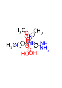 CCOC(=O)[C@H]1CC(C)=CCN1C(=O)[C@H](Cc1cccc(C(=N)N)c1)NS(=O)(=O)c1ccc2c(c1)CCN(C)C2.O=C(O)O